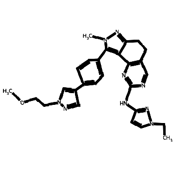 CCn1ccc(Nc2ncc3c(n2)-c2c(nn(C)c2-c2ccc(-c4cnn(CCOC)c4)cc2)CC3)n1